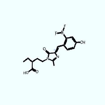 CCC(CCN1C(=O)/C(=C/c2ccc(O)cc2B(F)F)N=C1C)C(=O)O